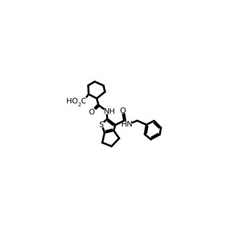 O=C(NCc1ccccc1)c1c(NC(=O)C2CCCCC2C(=O)O)sc2c1CCC2